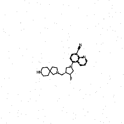 N#Cc1ccc(N2CC(F)[C@@H](CN3CCC4(CCNCC4)C3)C2)c2cccnc12